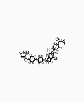 O=C(C1CC1)N1CCC(O)(Cn2cnc3c(cnn3-c3ccc(-c4ccc(O[C@H]5CCNC5)cc4)cc3)c2=O)CC1